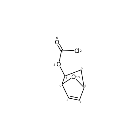 O=C(Cl)OC1CC2C=CC1O2